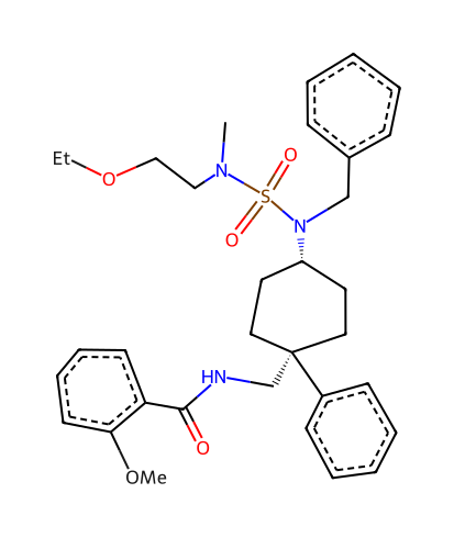 CCOCCN(C)S(=O)(=O)N(Cc1ccccc1)[C@H]1CC[C@](CNC(=O)c2ccccc2OC)(c2ccccc2)CC1